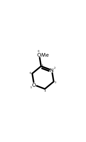 COC1=NCCOC1